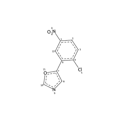 O=[N+]([O-])c1ccc(Cl)c(-c2cnco2)c1